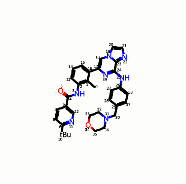 Cc1c(NC(=O)c2ccc(C(C)(C)C)nc2)cccc1-c1cn2ccnc2c(Nc2ccc(CN3CCOCC3)cc2)n1